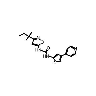 CCC(C)(C)c1cc(NC(=O)Nc2cc(-c3ccncc3)cs2)on1